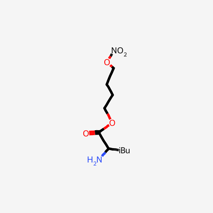 CCC(C)C(N)C(=O)OCCCCO[N+](=O)[O-]